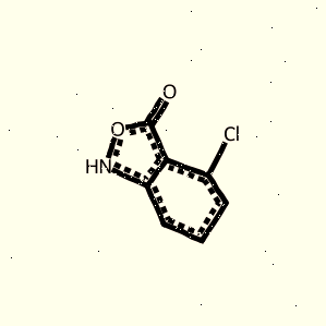 O=c1o[nH]c2cccc(Cl)c12